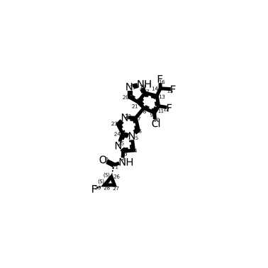 O=C(Nc1cn2cc(-c3c(Cl)c(F)c(C(F)F)c4[nH]ncc34)ncc2n1)[C@@H]1C[C@@H]1F